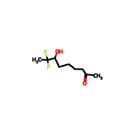 CC(=O)CCCCC(O)C(C)(F)F